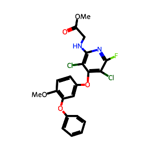 COC(=O)CNc1nc(F)c(Cl)c(Oc2ccc(OC)c(Oc3ccccc3)c2)c1Cl